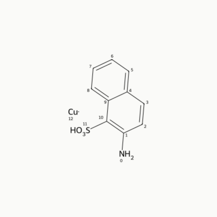 Nc1ccc2ccccc2c1S(=O)(=O)O.[Cu]